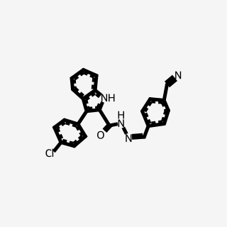 N#Cc1ccc(/C=N\NC(=O)c2[nH]c3ccccc3c2-c2ccc(Cl)cc2)cc1